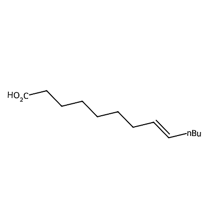 CCCCC=CCCCCCCC(=O)O